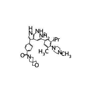 Cc1cc(/C(N)=C/c2c(-c3ccc(C(=O)N4CC5(COC5)C4)cc3)c[nH]c2N)cc(C(C)C)c1N1CCN(C)CC1